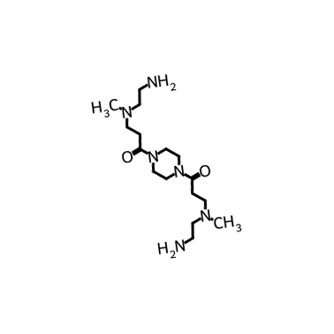 CN(CCN)CCC(=O)N1CCN(C(=O)CCN(C)CCN)CC1